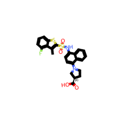 Cc1c(S(=O)(=O)Nc2ccc(N3CC[C@@H](C(=O)O)C3)c3ccccc23)sc2cccc(F)c12